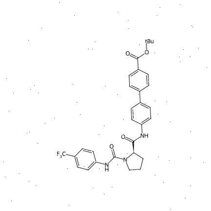 CC(C)(C)OC(=O)c1ccc(-c2ccc(NC(=O)[C@H]3CCCN3C(=O)Nc3ccc(C(F)(F)F)cc3)cc2)cc1